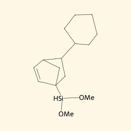 CO[SiH](OC)C12C=CC(C1)C(C1CCCCC1)C2